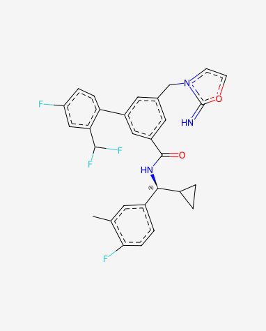 Cc1cc([C@@H](NC(=O)c2cc(Cn3ccoc3=N)cc(-c3ccc(F)cc3C(F)F)c2)C2CC2)ccc1F